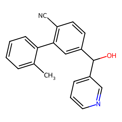 Cc1ccccc1-c1cc(C(O)c2cccnc2)ccc1C#N